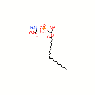 CCCCCCCC/C=C\CCCCCCCC(=O)O[C@@H](CO)COP(=O)(O)OC[C@H](N)C(=O)O